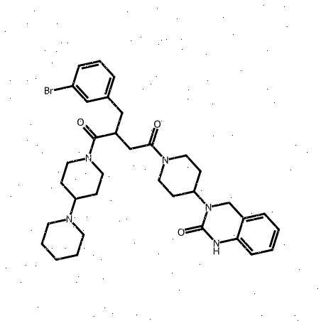 O=C(CC(Cc1cccc(Br)c1)C(=O)N1CCC(N2CCCCC2)CC1)N1CCC(N2Cc3ccccc3NC2=O)CC1